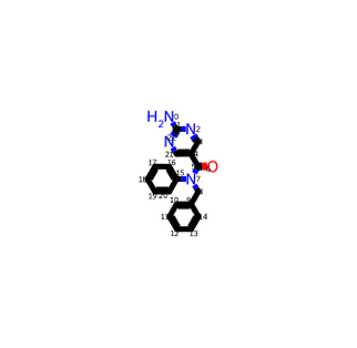 Nc1ncc(C(=O)N(Cc2ccccc2)c2ccccc2)cn1